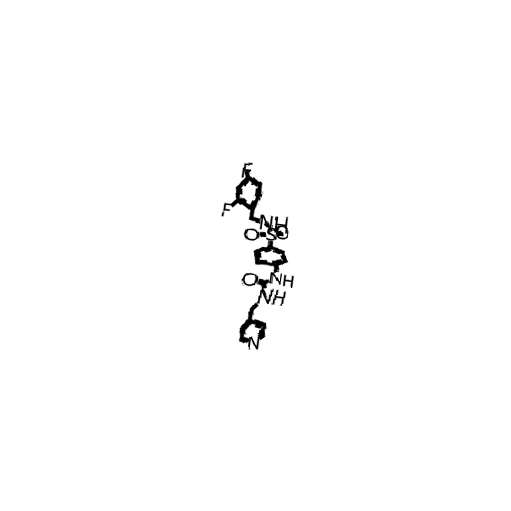 O=C(NCc1ccncc1)Nc1ccc(S(=O)(=O)NCc2ccc(F)cc2F)cc1